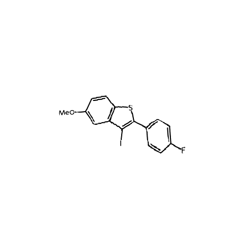 COc1ccc2sc(-c3ccc(F)cc3)c(I)c2c1